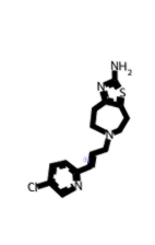 Nc1nc2c(s1)CCN(C/C=C/c1ccc(Cl)cn1)CC2